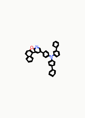 c1ccc(-c2ccc(N(c3ccc(-c4cnc5oc6ccc7ccccc7c6c5c4)cc3)c3cccc(-c4ccccc4)c3)cc2)cc1